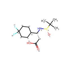 CC(C)(C)[S@+]([O-])N[C@H](CC(=O)O)C1CCC(F)(F)CC1